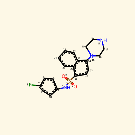 O=S(=O)(Nc1ccc(F)cc1)c1ccc(N2CCNCC2)c2ccccc12